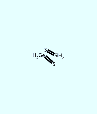 [S]=[GeH2].[SiH2]=S